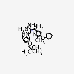 Cc1nc(/C(N)=C(\CNc2nccc(OCC(C)(C)C)n2)N(C)N)ccc1OC1CCCCC1